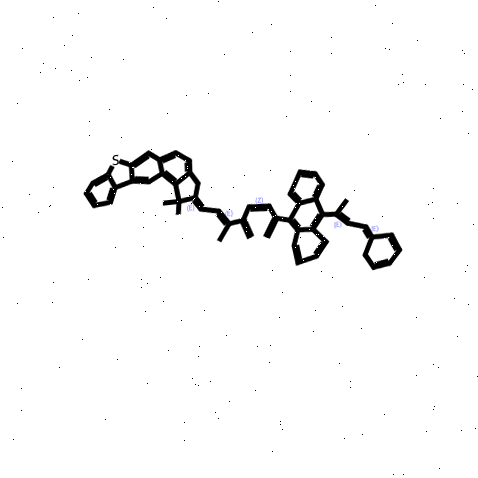 C=C(/C=C\C(=C)c1c2ccccc2c(/C(C)=C/C=C2/C=CC=CC2)c2ccccc12)/C(C)=C/C=C1\Cc2ccc3cc4sc5ccccc5c4cc3c2C1(C)C